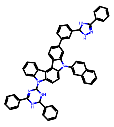 c1ccc(C2=NNC(c3cccc(-c4ccc5c6c7c8ccccc8n(C8N=C(c9ccccc9)NC(c9ccccc9)N8)c7ccc6n(-c6ccc7ccccc7c6)c5c4)c3)N2)cc1